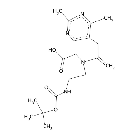 C=C(Cc1cnc(C)nc1C)N(CCNC(=O)OC(C)(C)C)CC(=O)O